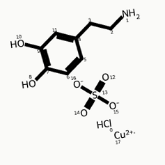 Cl.NCCc1ccc(O)c(O)c1.O=S(=O)([O-])[O-].[Cu+2]